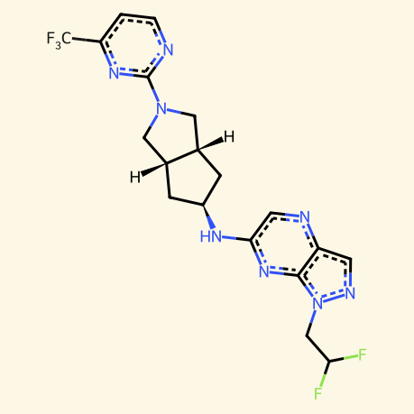 FC(F)Cn1ncc2ncc(N[C@H]3C[C@@H]4CN(c5nccc(C(F)(F)F)n5)C[C@@H]4C3)nc21